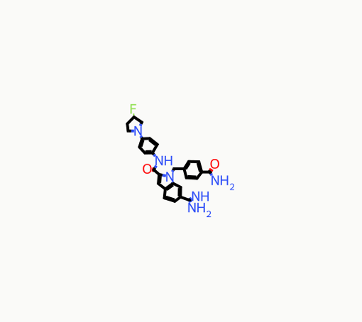 N=C(N)c1ccc2cc(C(=O)Nc3ccc(N4CC[C@H](F)C4)cc3)n(Cc3ccc(C(N)=O)cc3)c2c1